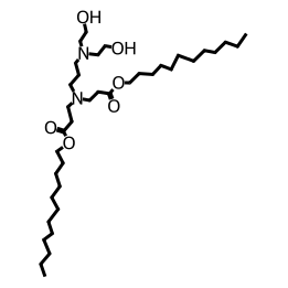 CCCCCCCCCCCCOC(=O)CCN(CCCN(CCO)CCO)CCC(=O)OCCCCCCCCCCCC